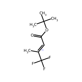 C/C(=C\C(=O)OC(C)(C)C)C(F)(F)F